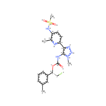 Cc1cccc([C@@H](CF)OC(=O)Nc2c(-c3ccc(NS(C)(=O)=O)c(C)n3)nnn2C)c1